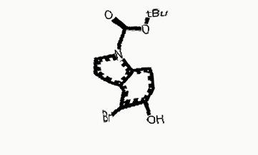 CC(C)(C)OC(=O)n1ccc2c(Br)c(O)ccc21